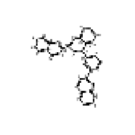 c1cc(-c2ccc3cccnc3n2)nc(-c2cc(-c3ccc4ccccc4n3)nc3ccccc23)c1